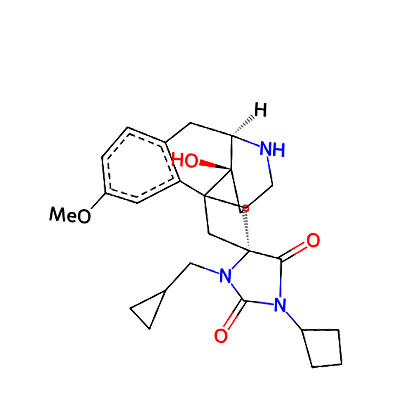 COc1ccc2c(c1)C13CCN[C@H](C2)[C@]1(O)CC[C@]1(C3)C(=O)N(C2CCC2)C(=O)N1CC1CC1